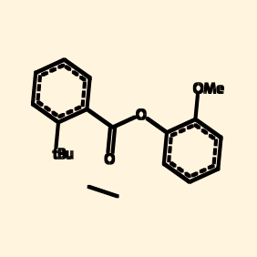 CC.COc1ccccc1OC(=O)c1ccccc1C(C)(C)C